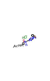 CC(=O)Nc1ccc(C(=O)NCCCCN2CCN(c3nsc4ccccc34)CC2)cc1.Cl